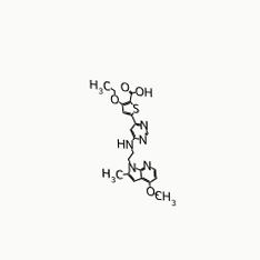 CCOc1cc(-c2cc(NCCn3c(C)cc4c(OC)ccnc43)ncn2)sc1C(=O)O